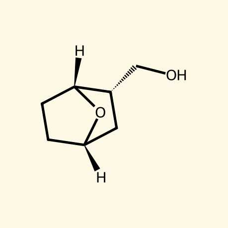 OC[C@@H]1C[C@@H]2CC[C@H]1O2